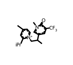 Cc1cc[n+](CC(C)c2cc(C(F)(F)F)c(=O)n(C)c2)c(C(C)C)c1